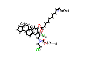 CCCCCCCC/C=C\CCCCCCCC(=O)O[C@@]1([C@@H](Cl)CN(CCCl)C(=O)OCCCCC)CC[C@@]2(C)C(=CCC3C4CCC[C@@]4(C)CCC32)C1